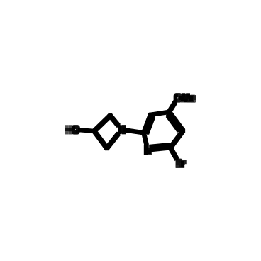 COc1cc(Br)nc(N2CC(O)C2)c1